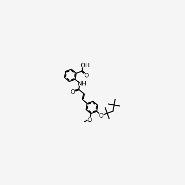 COc1cc(/C=C/C(=O)Nc2ccccc2C(=O)O)ccc1OC(C)(C)CC(C)(C)C